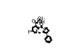 CN1C[C@H](F)C[C@@H](C(=O)NO)[C@@H]1C(=O)N1CC[C@H](c2ccccc2)C1